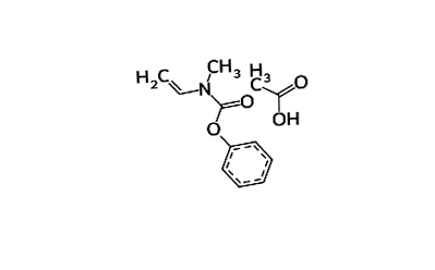 C=CN(C)C(=O)Oc1ccccc1.CC(=O)O